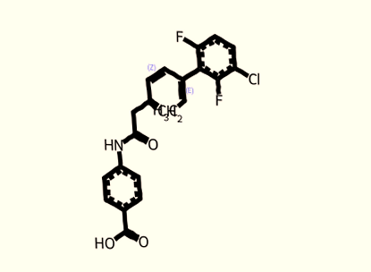 C=C(/C=C\C(=C/C)c1c(F)ccc(Cl)c1F)CC(=O)Nc1ccc(C(=O)O)cc1